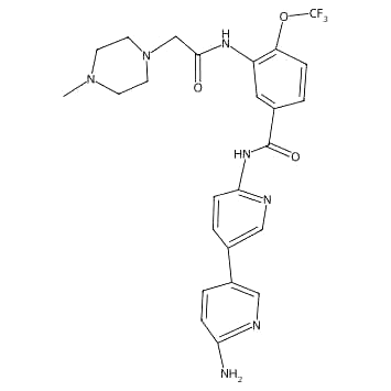 CN1CCN(CC(=O)Nc2cc(C(=O)Nc3ccc(-c4ccc(N)nc4)cn3)ccc2OC(F)(F)F)CC1